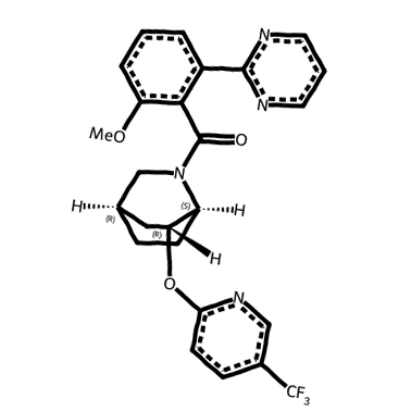 COc1cccc(-c2ncccn2)c1C(=O)N1C[C@@H]2CC[C@H]1[C@H](Oc1ccc(C(F)(F)F)cn1)C2